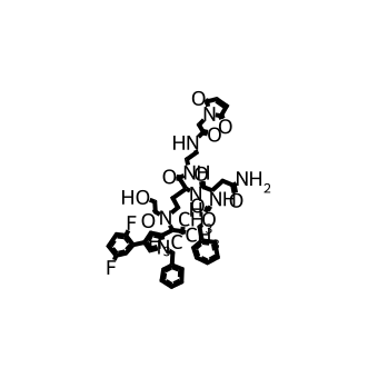 CC(C)(C)C(c1cc(-c2cc(F)ccc2F)cn1Cc1ccccc1)N(CCC(NC(=O)C(CC(N)=O)NC(=O)OCc1ccccc1)C(=O)NCCNC(=O)CN1C(=O)C=CC1=O)C(=O)CO